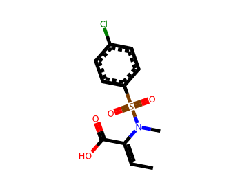 C/C=C(/C(=O)O)N(C)S(=O)(=O)c1ccc(Cl)cc1